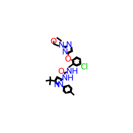 Cc1ccc(-n2nc(C(C)(C)C)cc2NC(=O)NCc2cc(Cl)ccc2Oc2ccnc(N3CCOCC3)n2)cc1